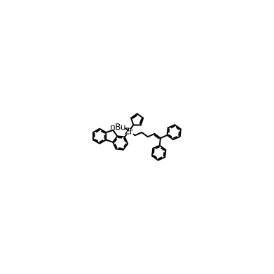 CCC[CH2][Zr]([CH2]CCC=C(c1ccccc1)c1ccccc1)([c]1cccc2c1Cc1ccccc1-2)[CH]1C=CC=C1